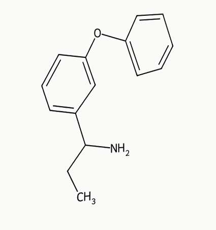 CCC(N)c1cccc(Oc2ccccc2)c1